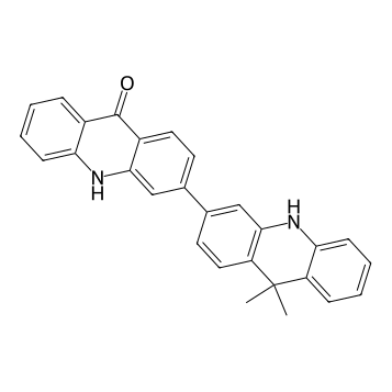 CC1(C)c2ccccc2Nc2cc(-c3ccc4c(=O)c5ccccc5[nH]c4c3)ccc21